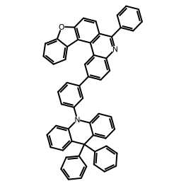 c1ccc(-c2nc3ccc(-c4cccc(N5c6ccccc6C(c6ccccc6)(c6ccccc6)c6ccccc65)c4)cc3c3c2ccc2oc4ccccc4c23)cc1